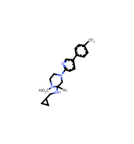 CC(=O)C1(NCC2CC2)CN(c2ccc(-c3ccc(C(F)(F)F)cc3)cn2)CCN1C(=O)O